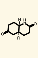 O=C1CC[C@@H]2NC(=O)CC[C@H]2C1